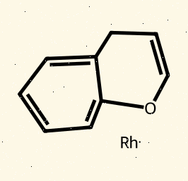 C1=COc2ccccc2C1.[Rh]